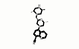 C[C@@H]1CN(c2ccc(C#N)c3ncccc23)C[C@@H](CN2C[C@H](C)NC[C@H]2C)O1